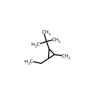 CCC1C(C)C1C(C)(C)C